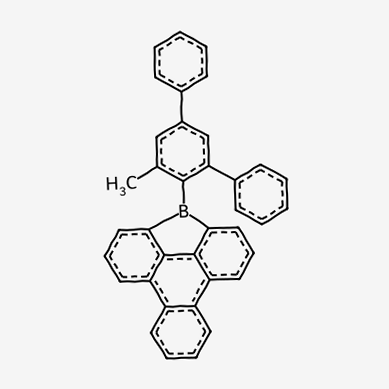 Cc1cc(-c2ccccc2)cc(-c2ccccc2)c1B1c2cccc3c4ccccc4c4cccc1c4c23